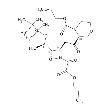 C=CCOC(=O)C(=O)N1O[C@H]([C@@H](C)O[Si](C)(C)C(C)(C)C)[C@H]1CC(=O)[C@@H]1COCCN1C(=O)OCC=C